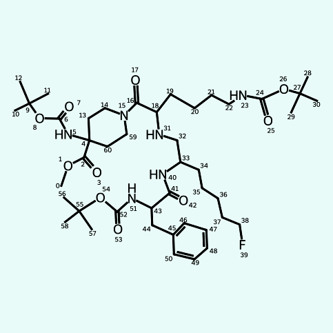 COC(=O)C1(NC(=O)OC(C)(C)C)CCN(C(=O)C(CCCCNC(=O)OC(C)(C)C)NCC(CCCCCF)NC(=O)C(Cc2ccccc2)NC(=O)OC(C)(C)C)CC1